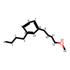 CCCCc1cccc(CCCCOC)c1